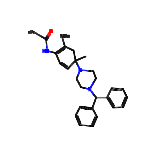 CCCC(=O)NC1=C(NC)CC(C)(N2CCN(C(c3ccccc3)c3ccccc3)CC2)C=C1